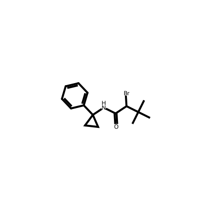 CC(C)(C)C(Br)C(=O)NC1(c2ccccc2)CC1